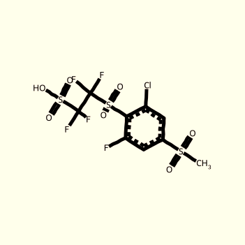 CS(=O)(=O)c1cc(F)c(S(=O)(=O)C(F)(F)C(F)(F)S(=O)(=O)O)c(Cl)c1